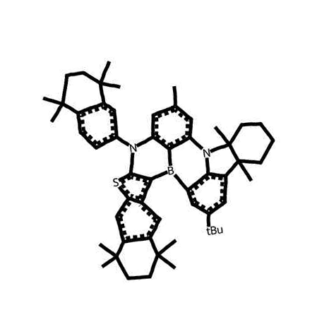 Cc1cc2c3c(c1)N1c4c(cc(C(C)(C)C)cc4C4(C)CCCCC14C)B3c1c(sc3cc4c(cc13)C(C)(C)CCC4(C)C)N2c1ccc2c(c1)C(C)(C)CCC2(C)C